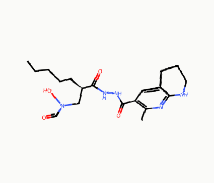 CCCCC[C@H](CN(O)C=O)C(=O)NNC(=O)c1cc2c(nc1C)NCCC2